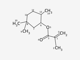 C=C(C)C(=O)OC1CC(C)(C)CCC1C